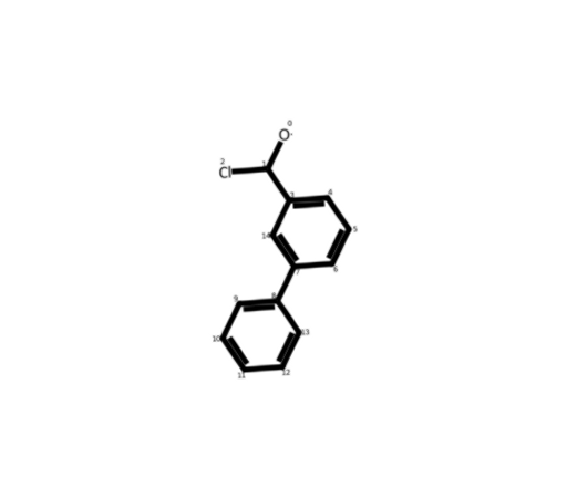 [O]C(Cl)c1cccc(-c2ccccc2)c1